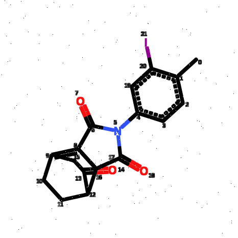 Cc1ccc(N2C(=O)C3=C4CCC(C(=O)C4)C3C2=O)cc1I